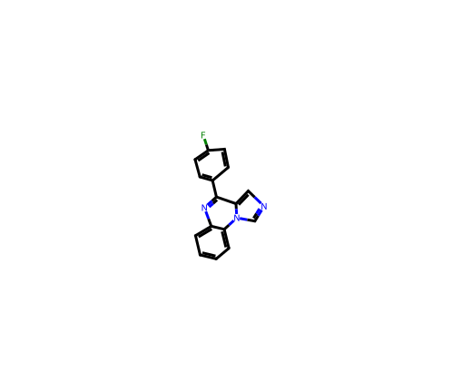 Fc1ccc(-c2nc3ccccc3n3cncc23)cc1